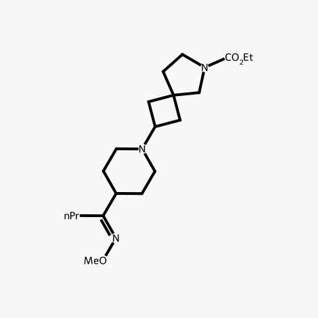 CCCC(=NOC)C1CCN(C2CC3(CCN(C(=O)OCC)C3)C2)CC1